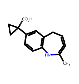 CC1=C=CCc2cc(C3(C(=O)O)CC3)ccc2N1